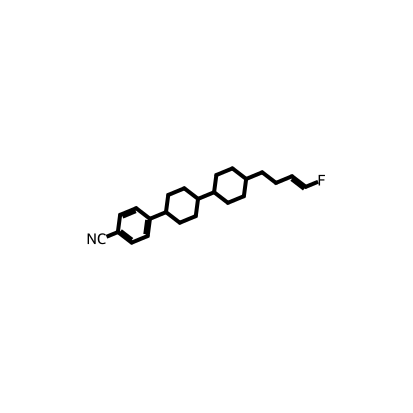 N#Cc1ccc(C2CCC(C3CCC(CCC=CF)CC3)CC2)cc1